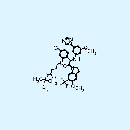 COc1cc(NC(C(=O)N2CCc3cc(OC)c(C(F)(F)F)cc32)c2ccc(Cl)cc2OCCCC(=O)OC(C)(C)C)cc(-n2cncn2)c1